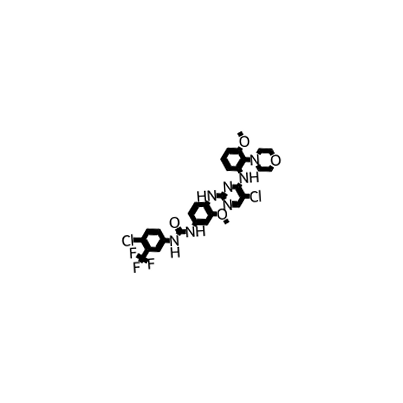 COc1cc(NC(=O)Nc2ccc(Cl)c(C(F)(F)F)c2)ccc1Nc1ncc(Cl)c(Nc2cccc(OC)c2N2CCOCC2)n1